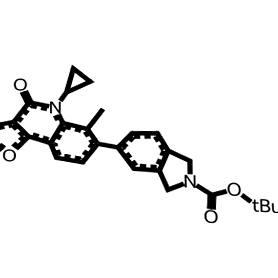 Cc1c(-c2ccc3c(c2)CN(C(=O)OC(C)(C)C)C3)ccc2c3ocnc3c(=O)n(C3CC3)c12